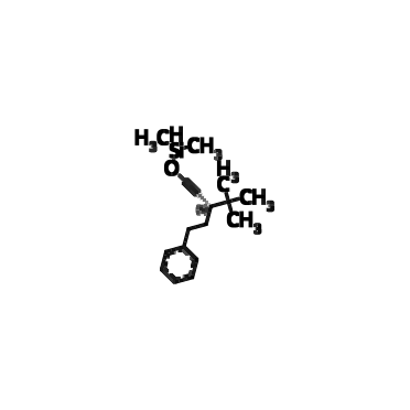 C[SiH](C)OC#C[C@@H](CCc1ccccc1)C(C)(C)C